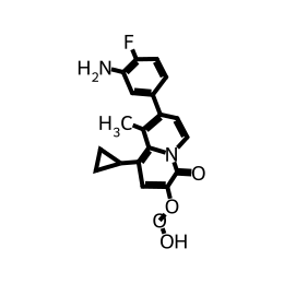 Cc1c(-c2ccc(F)c(N)c2)ccn2c(=O)c(OOO)cc(C3CC3)c12